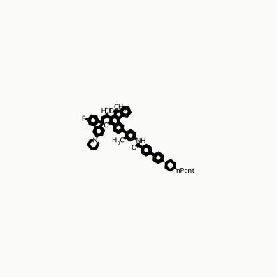 CCCCC[C@H]1CC[C@H](c2ccc(-c3ccc(C(=O)Nc4ccc(-c5ccc6c7c(c8c(c6c5)-c5ccccc5C8(C)C)C(C(F)(F)F)=CC(c5ccc(F)cc5)(c5ccc(N6CCCCC6)cc5)O7)c(C)c4)cc3)cc2)CC1